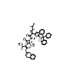 O=C(O)C1=C(CN2CCc3ccccc3C2)C[S+]([O-])[C@@H]2C(NC(=O)/C(=N/OC(F)F)c3csc(NC(c4ccccc4)(c4ccccc4)c4ccccc4)n3)C(=O)N12